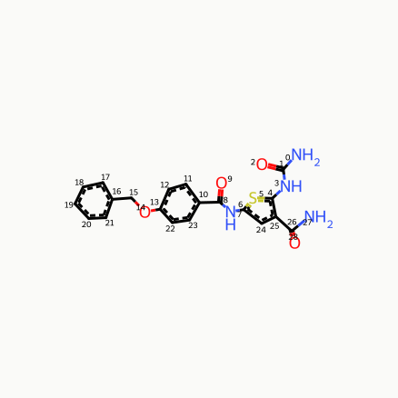 NC(=O)Nc1sc(NC(=O)c2ccc(OCc3ccccc3)cc2)cc1C(N)=O